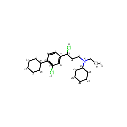 CCN(CCC(Cl)c1ccc(C2CCCCC2)c(Cl)c1)C1CCCCC1